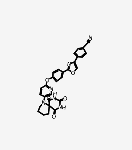 N#Cc1ccc(-c2coc(-c3ccc(Oc4ccc(N5CCCCC56C(=O)NC(=O)NC6=O)cn4)cc3)n2)cc1